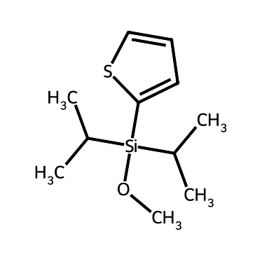 CO[Si](c1cccs1)(C(C)C)C(C)C